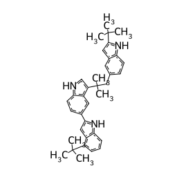 CC(C)(C)c1cc2cc(CC(C)(C)c3c[nH]c4ccc(-c5cc6c(C(C)(C)C)cccc6[nH]5)cc34)ccc2[nH]1